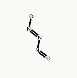 [O]N=NN=O